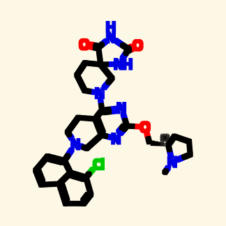 CN1CCC[C@H]1COc1nc2c(c(N3CCCC4(C3)NC(=O)NC4=O)n1)CCN(c1cccc3cccc(Cl)c13)C2